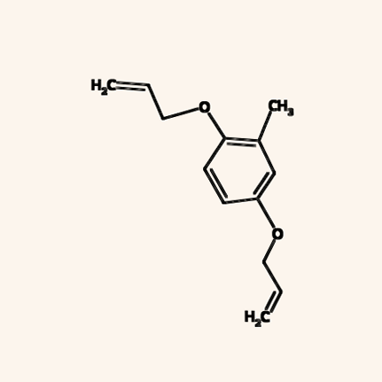 C=CCOc1ccc(OCC=C)c(C)c1